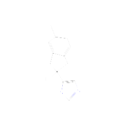 CCC1(c2cnc[nH]2)CC2=CCC(C)C=C2C1